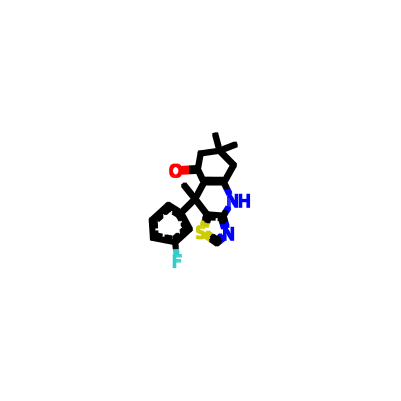 CC1(C)CC(=O)C2=C(C1)Nc1ncsc1C2(C)c1cccc(F)c1